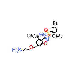 CCc1ccc(OC)c(S(=O)(=O)Nc2noc3cc(COCCCN)cc(OC)c23)c1